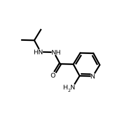 CC(C)NNC(=O)c1cccnc1N